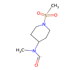 CN([C]=O)C1CCN(S(C)(=O)=O)CC1